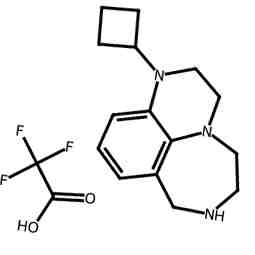 O=C(O)C(F)(F)F.c1cc2c3c(c1)N(C1CCC1)CCN3CCNC2